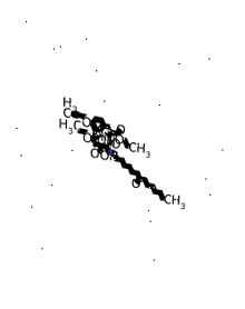 CC#CCOc1ccc(C[C@H](NC(=O)[C@@H](/C=C/CCCCCCC(=O)CCCCCCC)[C@@](O)(CC(=O)OCCC)C(=O)O)C(=O)OCCC)cc1